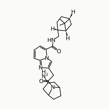 CC1(C)[C@@H]2CC[C@@H](CNC(=O)c3cccc4nc(CC(=O)N5C6CCC5CC(N)C6)cn34)[C@H]1C2